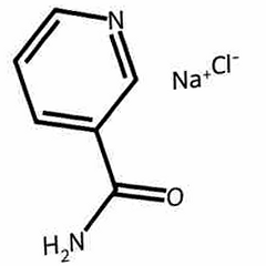 NC(=O)c1cccnc1.[Cl-].[Na+]